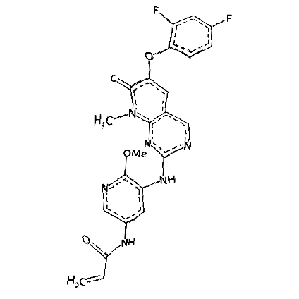 C=CC(=O)Nc1cnc(OC)c(Nc2ncc3cc(Oc4ccc(F)cc4F)c(=O)n(C)c3n2)c1